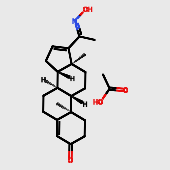 C/C(=N\O)C1=CC[C@H]2[C@@H]3CCC4=CC(=O)CC[C@]4(C)[C@H]3CC[C@]12C.CC(=O)O